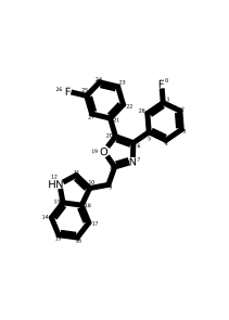 Fc1cccc(-c2nc(Cc3c[nH]c4ccccc34)oc2-c2cccc(F)c2)c1